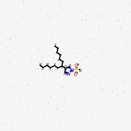 CCCCCCC(CCCCCC)c1cnn(S(C)(=O)=O)c1